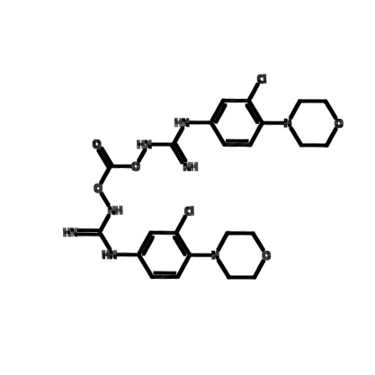 N=C(NOC(=O)ONC(=N)Nc1ccc(N2CCOCC2)c(Cl)c1)Nc1ccc(N2CCOCC2)c(Cl)c1